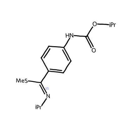 CS/C(=N\C(C)C)c1ccc(NC(=O)OC(C)C)cc1